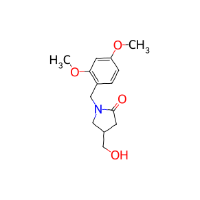 COc1ccc(CN2CC(CO)CC2=O)c(OC)c1